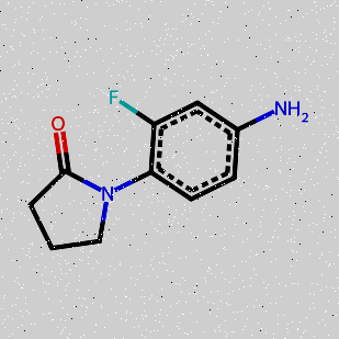 Nc1ccc(N2CCCC2=O)c(F)c1